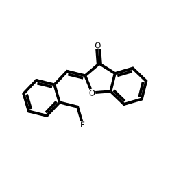 O=C1/C(=C/c2ccccc2CF)Oc2ccccc21